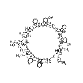 CCCC[C@H]1C(=O)N(C)CC(=O)N[C@@H](CC(=O)OC(C)(C)C)C(=O)N[C@@H](C(C)C)C(=O)N(C)C(Cc2ccccc2)C(=O)N[C@@H](Cc2ccc(O)cc2)C(=O)N(C)CC(=O)N[C@@H](Cc2c[nH]c3ccccc23)C(=O)N[C@@H](Cc2ccc(O)cc2)C(=O)N[C@@H](CC(C)C)C(=O)N[C@H](C(=O)NCC(N)=O)CSCC(=O)N[C@@H](Cc2ccccc2)C(=O)N(C)[C@@H](Cc2cccnc2)C(=O)N1C